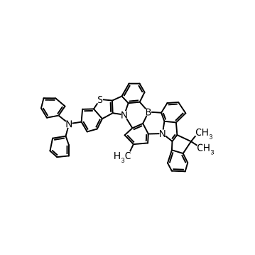 Cc1cc2c3c(c1)-n1c4c(cccc4c4sc5cc(N(c6ccccc6)c6ccccc6)ccc5c41)B3c1cccc3c4c(n-2c13)-c1ccccc1C4(C)C